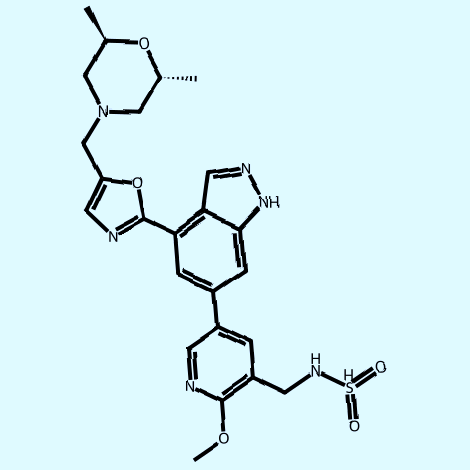 COc1ncc(-c2cc(-c3ncc(CN4C[C@@H](C)O[C@H](C)C4)o3)c3cn[nH]c3c2)cc1CN[SH](=O)=O